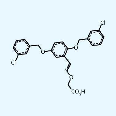 O=C(O)CON=Cc1cc(OCc2cccc(Cl)c2)ccc1OCc1cccc(Cl)c1